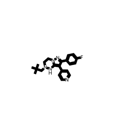 CC(C)(C)CN1CCn2nc(-c3ccc(F)cc3)c(-c3ccncc3)c2N1